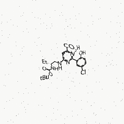 CC[C@H](CNc1cc(C(=O)O)nc(-c2cc(Cl)ccc2O)n1)NC(=O)OC(C)(C)C